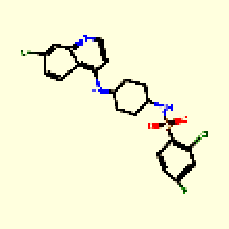 O=S(=O)(NC1CCC(Nc2ccnc3cc(Cl)ccc23)CC1)c1ccc(F)cc1Cl